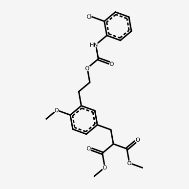 COC(=O)C(Cc1ccc(OC)c(CCOC(=O)Nc2ccccc2Cl)c1)C(=O)OC